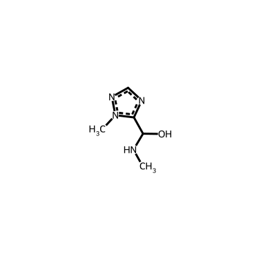 CNC(O)c1ncnn1C